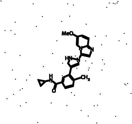 COc1ccc2ncc(N3C=C(c4cc(C(=O)NC5CC5)ccc4C)CN3)n2c1